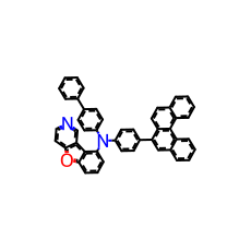 c1ccc(-c2ccc(N(c3ccc(-c4cc5ccccc5c5c4ccc4ccccc45)cc3)c3cccc4oc5ccncc5c34)cc2)cc1